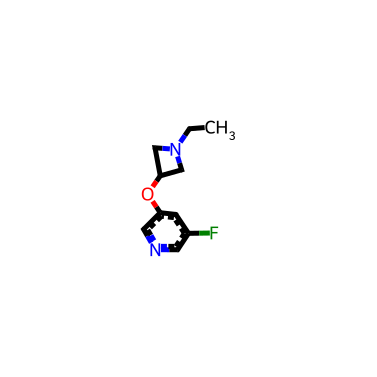 CCN1CC(Oc2cncc(F)c2)C1